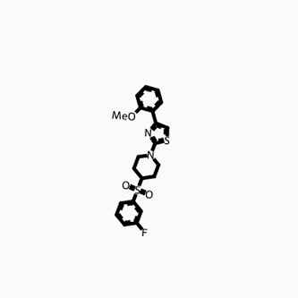 COc1ccccc1-c1csc(N2CCC(S(=O)(=O)c3cccc(F)c3)CC2)n1